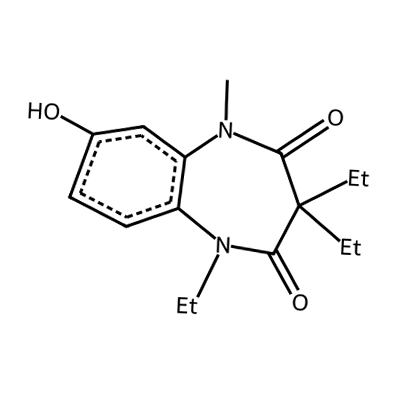 CCN1C(=O)C(CC)(CC)C(=O)N(C)c2cc(O)ccc21